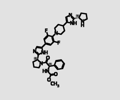 COC(=O)N[C@@H](C(=O)N1CCC[C@H]1c1ncc(-c2cc(F)c(N3CCC(c4cnc([C@@H]5CCCN5)[nH]4)CC3)c(F)c2)[nH]1)c1ccccc1